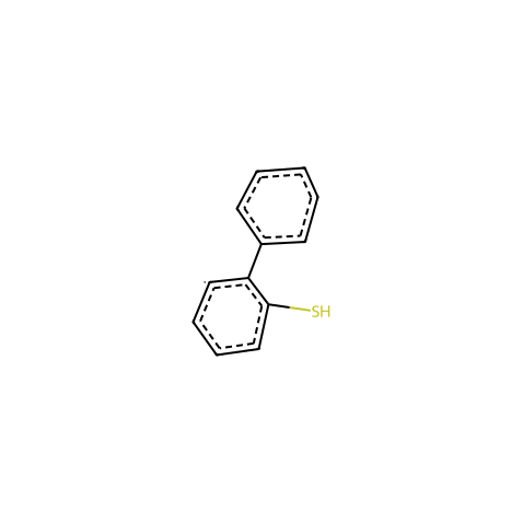 Sc1ccc[c]c1-c1ccccc1